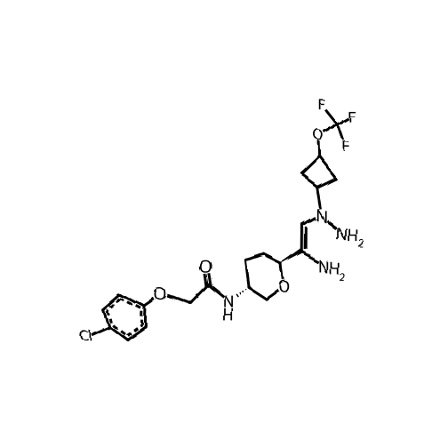 N/C(=C\N(N)C1CC(OC(F)(F)F)C1)[C@@H]1CC[C@@H](NC(=O)COc2ccc(Cl)cc2)CO1